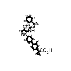 Cc1cc(C2(C(=O)O)CC2)ccc1-c1ccc(-n2ncc(Cl)c2NC(=O)O[C@H](C)c2ccccc2)cc1